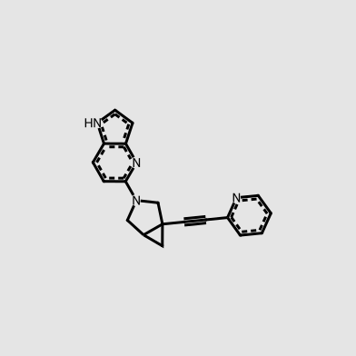 C(#CC12CC1CN(c1ccc3[nH]ccc3n1)C2)c1ccccn1